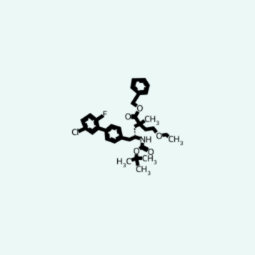 CCOCCC(C)(C[C@@H](Cc1ccc(-c2cc(Cl)ccc2F)cc1)NC(=O)OC(C)(C)C)C(=O)OCc1ccccc1